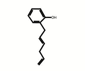 C=CCC=CCc1ccccc1O